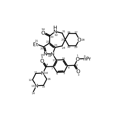 CCCOC(=O)c1ccc(C(=O)N2CCN(C)CC2)c(-n2nc(CC)c3c2CC2(CCOCC2)CNC3=O)c1